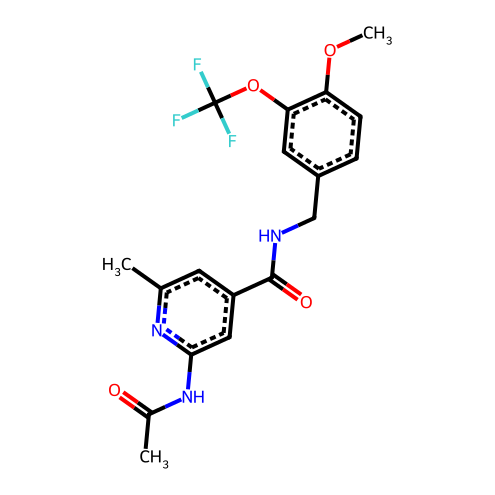 COc1ccc(CNC(=O)c2cc(C)nc(NC(C)=O)c2)cc1OC(F)(F)F